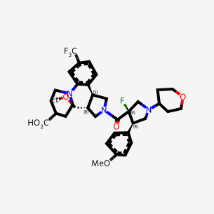 CCOC[C@H]1CN(C(=O)[C@]2(F)CN(C3CCOCC3)C[C@H]2c2ccc(OC)cc2)C[C@@H]1c1ccc(C(F)(F)F)cc1N1CCC(C(=O)O)CC1